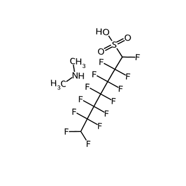 CNC.O=S(=O)(O)C(F)C(F)(F)C(F)(F)C(F)(F)C(F)(F)C(F)(F)C(F)F